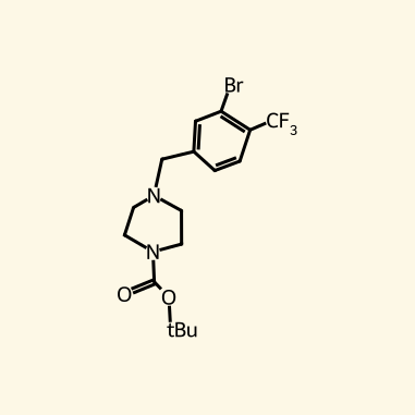 CC(C)(C)OC(=O)N1CCN(Cc2ccc(C(F)(F)F)c(Br)c2)CC1